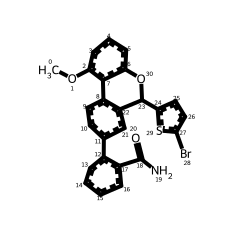 COc1cccc2c1-c1ccc(-c3ccccc3C(N)=O)cc1C(c1ccc(Br)s1)O2